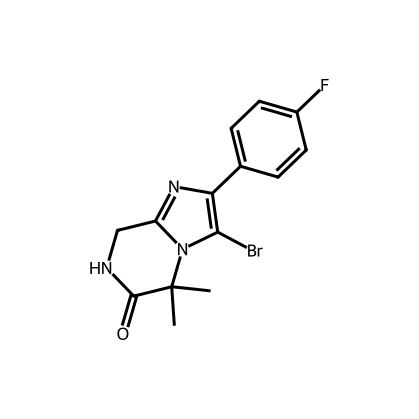 CC1(C)C(=O)NCc2nc(-c3ccc(F)cc3)c(Br)n21